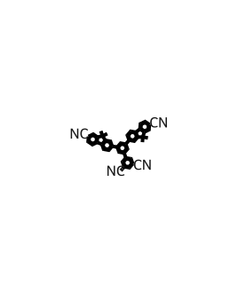 CC1(C)c2cc(C#N)ccc2-c2ccc(-c3cc(-c4cc(C#N)cc(C#N)c4)cc(-c4ccc5c(c4)C(C)(C)c4cc(C#N)ccc4-5)c3)cc21